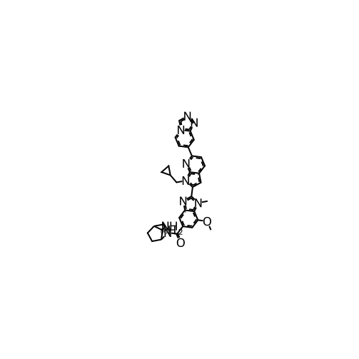 COc1cc(C(=O)N2CC3CCC2[C@@H]3N)cc2nc(-c3cc4ccc(-c5ccn6cnnc6c5)nc4n3CC3CC3)n(C)c12